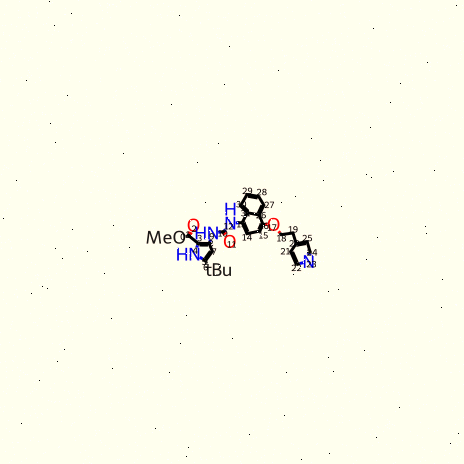 COC(=O)c1[nH]c(C(C)(C)C)cc1NC(=O)Nc1ccc(OCCc2ccncc2)c2ccccc12